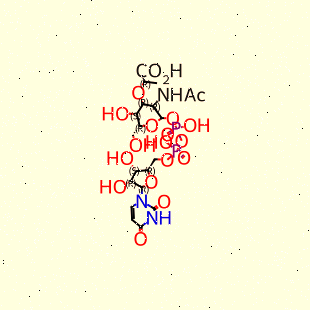 CC(=O)N[C@H]1C(OP(=O)(O)OP(=O)(O)OC[C@H]2O[C@@H](n3ccc(=O)[nH]c3=O)[C@H](O)[C@@H]2O)O[C@H](CO)[C@@H](O)[C@@H]1O[C@H](C)C(=O)O